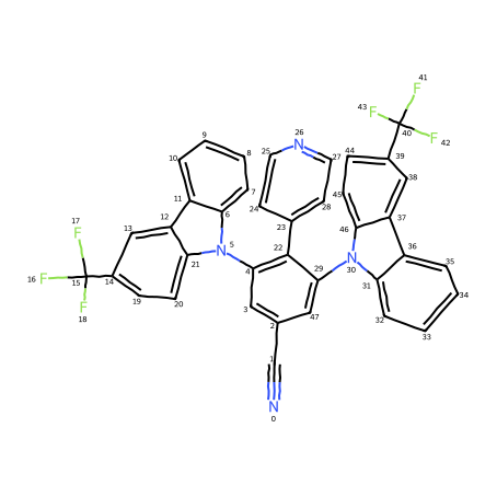 N#Cc1cc(-n2c3ccccc3c3cc(C(F)(F)F)ccc32)c(-c2ccncc2)c(-n2c3ccccc3c3cc(C(F)(F)F)ccc32)c1